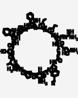 CCCC[C@H]1C(=O)N(C)[C@@H](CCCC)C(=O)N[C@@H](CCCNC(=N)N)C(=O)N[C@H](C(=O)NCC(N)=O)CSCC(=O)N[C@@H](Cc2ccc(C#N)cc2)C(=O)N(C)[C@@H](C)C(=O)NC(CC(N)=O)C(=O)N2CCC[C@H]2C(=O)N[C@@H](CN)C(=O)N[C@@H](CC(C)C)C(=O)N2C[C@H](O)CC2C(=O)N[C@@H](Cc2c[nH]c3ccccc23)C(=O)N[C@@H](CO)C(=O)N[C@@H](Cc2c[nH]c3ccccc23)C(=O)N1C